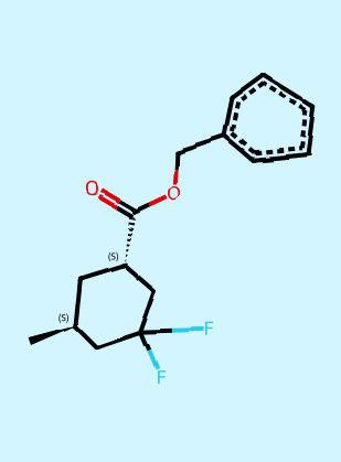 C[C@H]1C[C@H](C(=O)OCc2ccccc2)CC(F)(F)C1